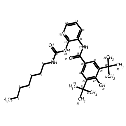 CCCCCCCNC(=O)Nc1ncccc1NC(=O)c1cc(C(C)(C)C)c(O)c(C(C)(C)C)c1